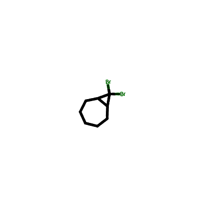 BrC1(Br)C2CCCCCC21